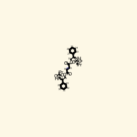 CC(C)S(=O)(=O)N[C@@H](COC(=O)/C=C/C(=O)OC[C@H](NS(=O)(=O)C(C)C)c1ccccc1)c1ccccc1